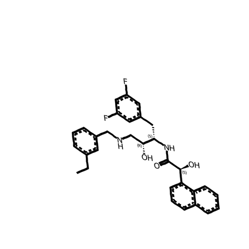 CCc1cccc(CNC[C@@H](O)[C@H](Cc2cc(F)cc(F)c2)NC(=O)[C@@H](O)c2cccc3ccccc23)c1